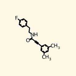 Cc1cc(C)cc(C#CC(=O)NCCc2ccc(F)cc2)c1